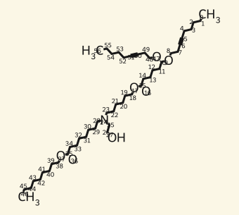 CCCCCC#CCCOC(CCCCC(=O)OCCCCCCN(CCO)CCCCCCCC(=O)OCCCCCCCCC)OCCC#CCCCCC